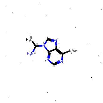 CNc1ncnc2c1ncn2C(C)N